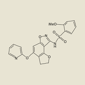 COc1ccccc1S(=O)(=O)Nc1noc2cc(Oc3ccccn3)c3c(c12)OCC3